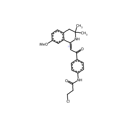 COc1ccc2c(c1)/C(=C/C(=O)c1ccc(NC(=O)CCCl)cc1)NC(C)(C)C2